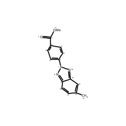 COC(=O)c1ccc(-n2nc3ccc(C)cc3n2)cc1